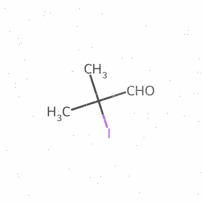 CC(C)(I)C=O